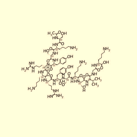 CC(=O)N[C@@H](CO)C(=O)N[C@@H](CCCCN)C(=O)N[C@@H](CO)C(=O)N[C@@H](Cc1ccc(O)cc1)C(=O)N[C@@H](CCCNC(=N)N)C(=O)N[C@@H](CCCCN)C(=O)N[C@@H](CCCNC(=N)N)C(=O)N[C@@H](Cc1ccc(O)cc1)C(=O)N[C@@H](CO)C(=O)N[C@@H](CCCCN)C(=O)N[C@@H](CO)C(=O)N[C@H](C(=O)NCC(=O)N[C@@H](CCCCN)C(=O)O)C(C)C